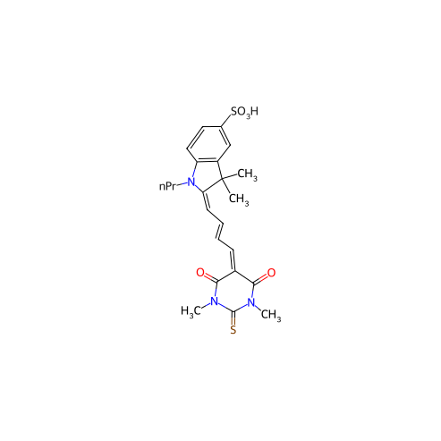 CCCN1/C(=C/C=C/C=C2C(=O)N(C)C(=S)N(C)C2=O)C(C)(C)c2cc(S(=O)(=O)O)ccc21